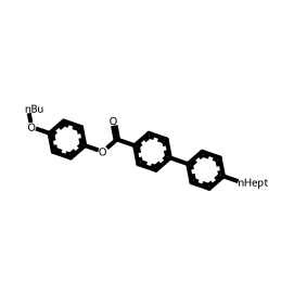 CCCCCCCc1ccc(-c2ccc(C(=O)Oc3ccc(OCCCC)cc3)cc2)cc1